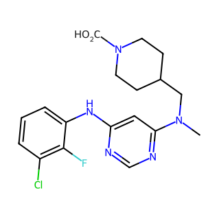 CN(CC1CCN(C(=O)O)CC1)c1cc(Nc2cccc(Cl)c2F)ncn1